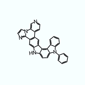 c1ccc(-n2c3ccccc3c3c4c(ccc32)[nH]c2cc3c(cc24)c2ccncc2n2ccnc32)cc1